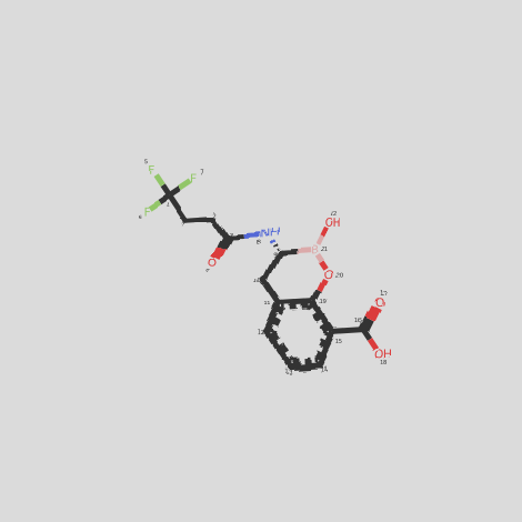 O=C(CCC(F)(F)F)N[C@H]1Cc2cccc(C(=O)O)c2OB1O